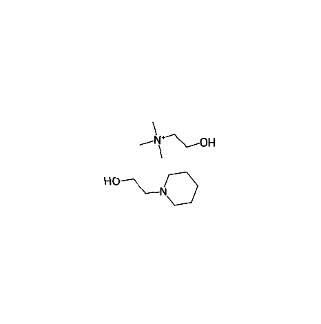 C[N+](C)(C)CCO.OCCN1CCCCC1